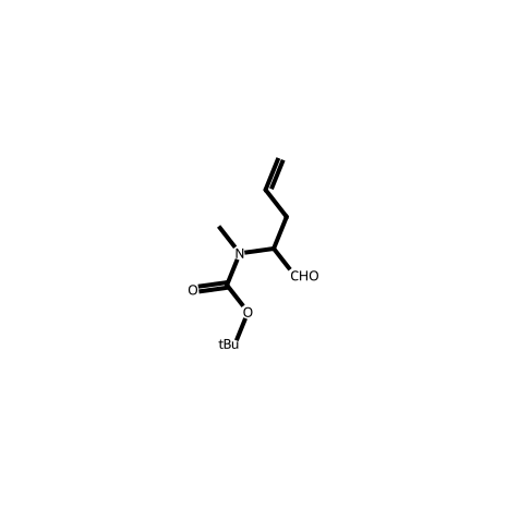 C=CCC(C=O)N(C)C(=O)OC(C)(C)C